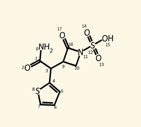 NC(=O)C(c1cccs1)C1CN(S(=O)(=O)O)C1=O